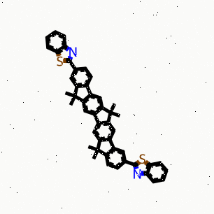 CC1(C)c2ccc(-c3nc4ccccc4s3)cc2-c2cc3c(cc21)-c1cc2c(cc1C3(C)C)-c1ccc(-c3nc4ccccc4s3)cc1C2(C)C